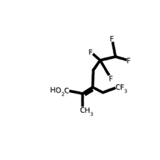 CC(C(=O)O)=C(CC(F)(F)F)CC(F)(F)C(F)F